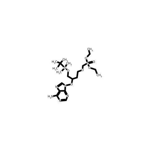 CCOP(=O)(COCCC(CO[Si](C)(C)C(C)(C)C)On1cnc2c(N)ncnc21)OCC